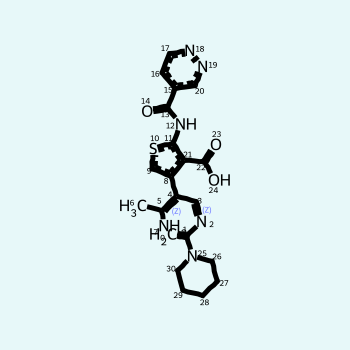 C=C(/N=C\C(=C(\C)N)c1csc(NC(=O)c2ccnnc2)c1C(=O)O)N1CCCCC1